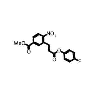 COC(=O)c1ccc([N+](=O)[O-])c(CCC(=O)Oc2ccc(F)cc2)c1